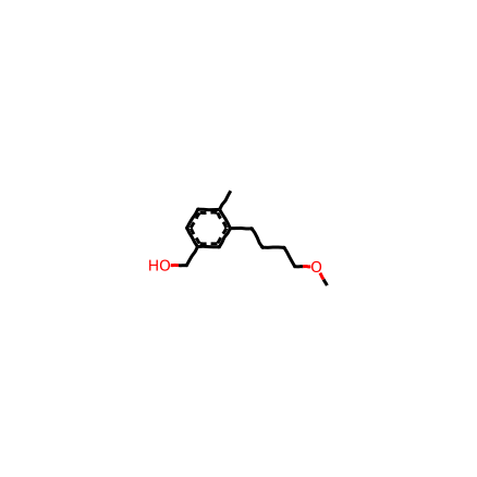 COCCCCc1cc(CO)ccc1C